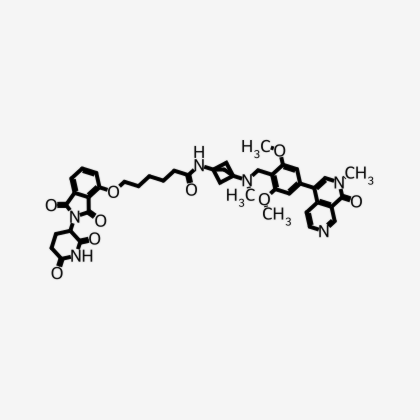 COc1cc(-c2cn(C)c(=O)c3cnccc23)cc(OC)c1CN(C)C12CC(NC(=O)CCCCCOc3cccc4c3C(=O)N(C3CCC(=O)NC3=O)C4=O)(C1)C2